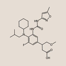 COCC(CC(=O)O)c1cc(F)c(N(CC(C)C)C2CCCCC2)c(NC(=O)Nc2cc(C)on2)c1